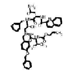 C=CCOC(=O)N[C@H](C(=O)NN(Cc1ccc(OCc2ccccc2)cc1)C[C@H](O)[C@H](Cc1ccccc1)NC(=O)[C@H](CC(N)=O)NC(=O)c1ccc2ccccc2n1)C(C)C